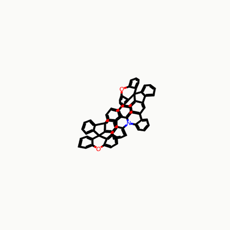 c1ccc(-c2ccccc2N(c2ccccc2-c2ccc3c(c2)-c2ccccc2C32c3ccccc3Oc3ccccc32)c2ccccc2-c2ccc3c(c2)-c2ccccc2C32c3ccccc3Oc3ccccc32)cc1